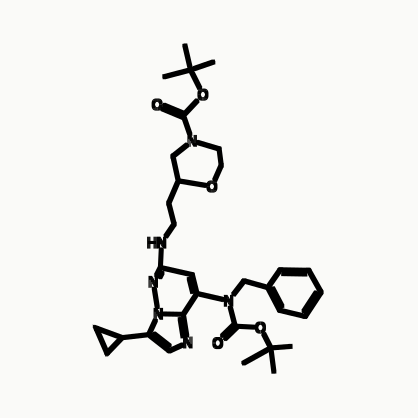 CC(C)(C)OC(=O)N1CCOC(CCNc2cc(N(Cc3ccccc3)C(=O)OC(C)(C)C)c3ncc(C4CC4)n3n2)C1